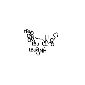 CC(C)(C)OC(=O)NCCCCC(NC(=O)CCCCCN(C(=O)OC(C)(C)C)C(=O)OC(C)(C)C)C(=O)OCc1ccccc1